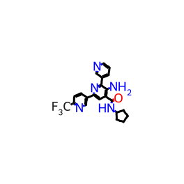 Nc1c(C(=O)NC2CCCC2)cc(-c2ccc(C(F)(F)F)nc2)nc1-c1cccnc1